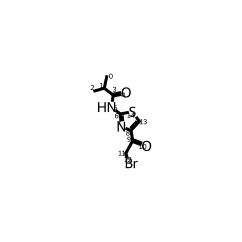 CC(C)C(=O)Nc1nc(C(=O)CBr)cs1